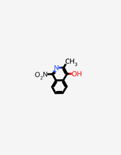 Cc1nc([N+](=O)[O-])c2ccccc2c1O